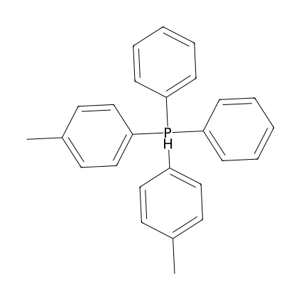 Cc1ccc([PH](c2ccccc2)(c2ccccc2)c2ccc(C)cc2)cc1